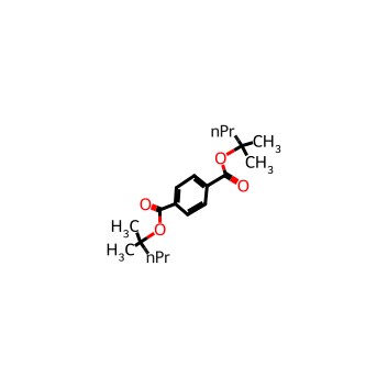 CCCC(C)(C)OC(=O)c1ccc(C(=O)OC(C)(C)CCC)cc1